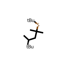 CC(CC(C)(C)SC(C)(C)C)C(C)(C)C